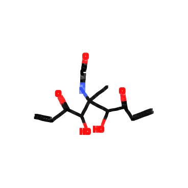 C=CC(=O)C(O)C(C)(N=C=O)C(O)C(=O)C=C